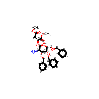 COC(=O)C[C@H](OC1O[C@H](COCc2ccccc2)[C@H](OCc2ccccc2)[C@H](OCc2ccccc2)[C@H]1N)C(=O)OC